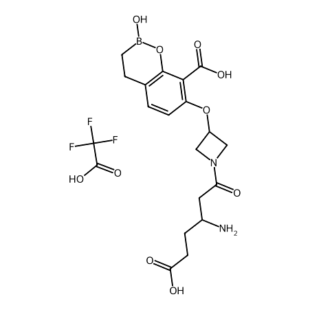 NC(CCC(=O)O)CC(=O)N1CC(Oc2ccc3c(c2C(=O)O)OB(O)CC3)C1.O=C(O)C(F)(F)F